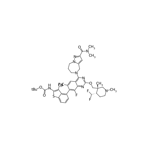 CN1CC[C@H](C(F)F)[C@](C)(COc2nc(N3CCCn4nc(C(=O)N(C)C)cc4C3)c3cc(C(F)(F)F)c(-c4cccc5sc(NC(=O)OC(C)(C)C)c(C#N)c45)c(F)c3n2)C1